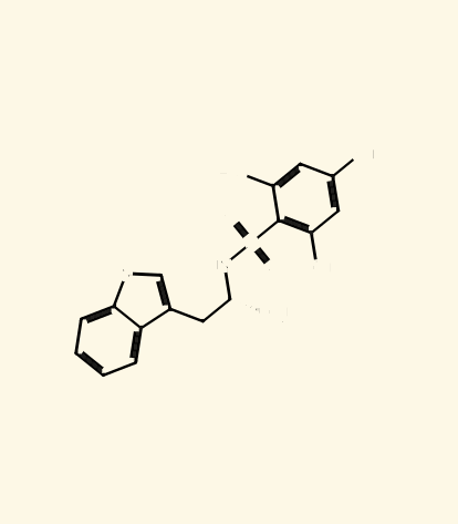 Cc1cc(C)c(S(=O)(=O)N[C@@H](Cc2c[nH]c3ccccc23)C(=O)O)c(C)c1